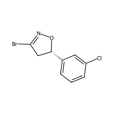 Clc1cccc([C@@H]2CC(Br)=NO2)c1